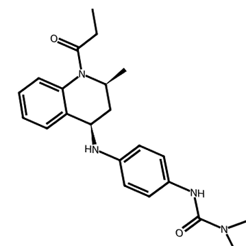 CCC(=O)N1c2ccccc2[C@H](Nc2ccc(NC(=O)N3CCC3)cc2)C[C@@H]1C